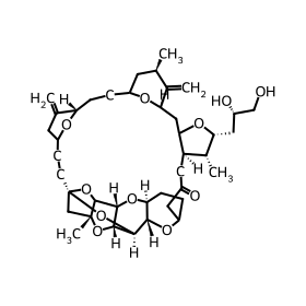 C=C1CC2CC[C@@]34C[C@@]5(C)O[C@H]6[C@@H](O3)[C@H]3OC(CC[C@@H]3O[C@H]6C5O4)CC(=O)C[C@H]3C(C[C@H]4OC(CC[C@@H]1O2)C[C@@H](C)C4=C)O[C@H](C[C@H](O)CO)[C@@H]3C